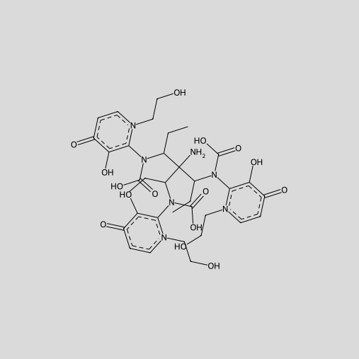 CCC(N(C(=O)O)c1c(O)c(=O)ccn1CCO)C(N)(C(CC)N(C(=O)O)c1c(O)c(=O)ccn1CCO)C(CC)N(C(=O)O)c1c(O)c(=O)ccn1CCO